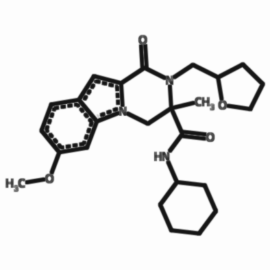 COc1ccc2cc3n(c2c1)CC(C)(C(=O)NC1CCCCC1)N(CC1CCCO1)C3=O